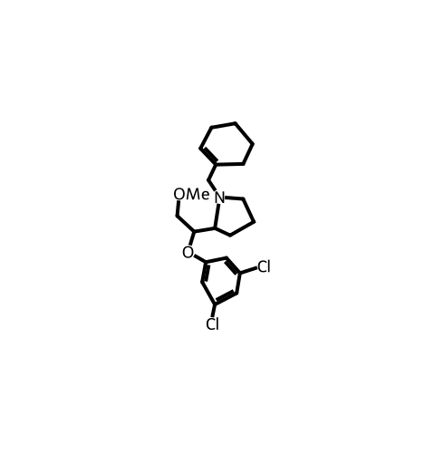 COCC(Oc1cc(Cl)cc(Cl)c1)C1CCCN1CC1=CCCCC1